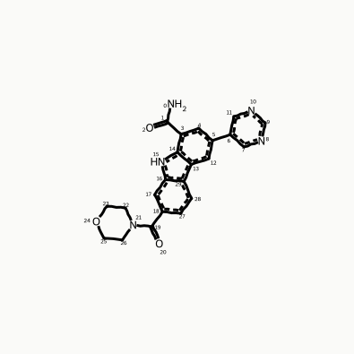 NC(=O)c1cc(-c2cncnc2)cc2c1[nH]c1cc(C(=O)N3CCOCC3)ccc12